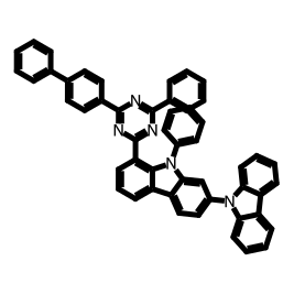 c1ccc(-c2ccc(-c3nc(-c4ccccc4)nc(-c4cccc5c6ccc(-n7c8ccccc8c8ccccc87)cc6n(-c6ccccc6)c45)n3)cc2)cc1